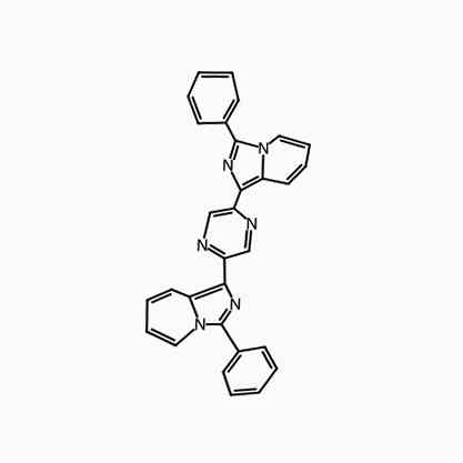 c1ccc(-c2nc(-c3cnc(-c4nc(-c5ccccc5)n5ccccc45)cn3)c3ccccn23)cc1